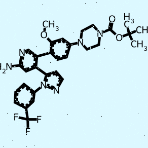 COc1cc(N2CCN(C(=O)OC(C)(C)C)CC2)ccc1-c1cnc(N)cc1-c1ccnn1-c1cccc(C(F)(F)F)c1